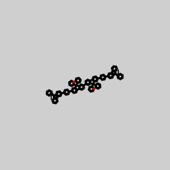 c1ccc(-n2c3ccccc3c3cc(-c4ccc(-c5ccc6c(c5)C(c5ccccc5)(c5ccccc5)c5cc(-c7ccc8c(c7)C(c7ccccc7)(c7ccccc7)c7cc(-c9ccc(-c%10ccc%11c(c%10)c%10ccccc%10n%11-c%10ccccc%10)cc9)ccc7-8)ccc5-6)cc4)ccc32)cc1